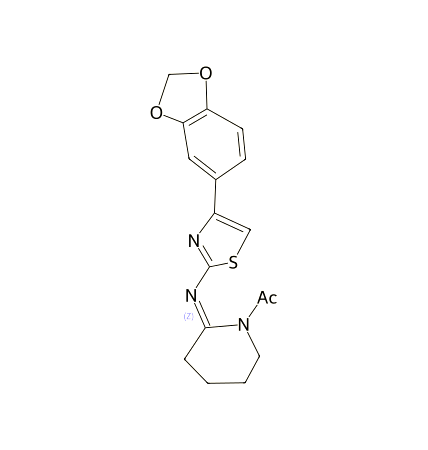 CC(=O)N1CCCC/C1=N/c1nc(-c2ccc3c(c2)OCO3)cs1